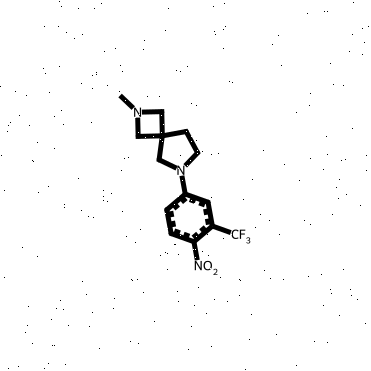 CN1CC2(CCN(c3ccc([N+](=O)[O-])c(C(F)(F)F)c3)C2)C1